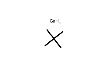 CC(C)(C)C.[GaH3]